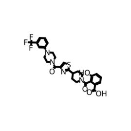 O=C(O)c1cccc(O)c1C(=O)N1CCC(c2nc(C(=O)N3CCN(c4cccc(C(F)(F)F)c4)CC3)cs2)CC1